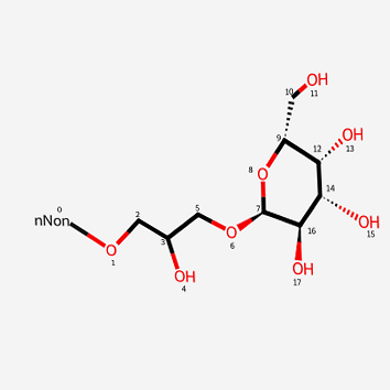 CCCCCCCCCOCC(O)CO[C@H]1O[C@H](CO)[C@H](O)[C@H](O)[C@H]1O